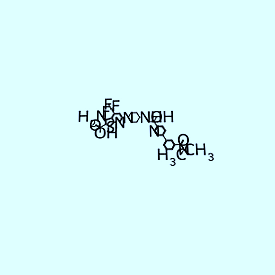 CN(C)C(=O)c1cccc(-c2ccc(C(O)CNC3CCN(c4cc(C(F)(F)F)c5c(N)c(C(=O)O)sc5n4)CC3)nc2)c1